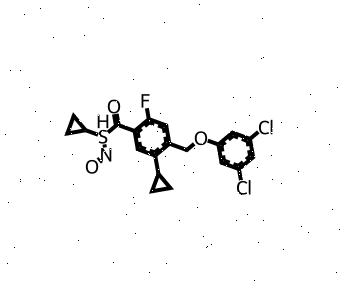 O=N[SH](C(=O)c1cc(C2CC2)c(COc2cc(Cl)cc(Cl)c2)cc1F)C1CC1